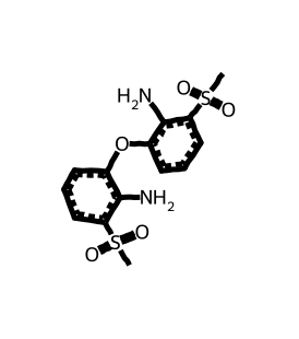 CS(=O)(=O)c1cccc(Oc2cccc(S(C)(=O)=O)c2N)c1N